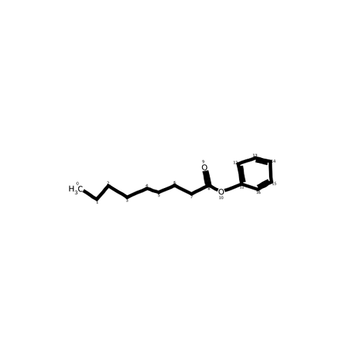 CCCCCC[CH]CC(=O)Oc1ccccc1